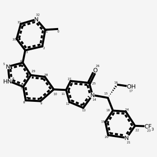 Cc1cc(-c2n[nH]c3ccc(-c4ccn([C@H](CO)c5ccnc(C(F)(F)F)c5)c(=O)c4)cc23)ccn1